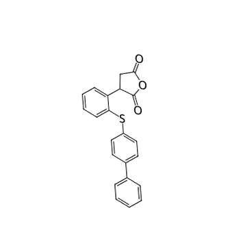 O=C1CC(c2ccccc2Sc2ccc(-c3ccccc3)cc2)C(=O)O1